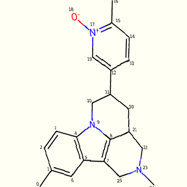 Cc1ccc2c(c1)c1c3n2CC(c2ccc(C)[n+]([O-])c2)CC3CN(C)C1